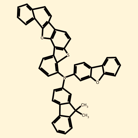 CC1(C)c2ccccc2-c2ccc(N(c3ccc4c(c3)oc3ccccc34)c3cccc4c3sc3ccc5c6ccc7ccccc7c6oc5c34)cc21